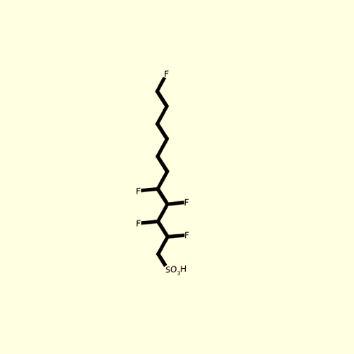 O=S(=O)(O)CC(F)C(F)C(F)C(F)CCCCCCF